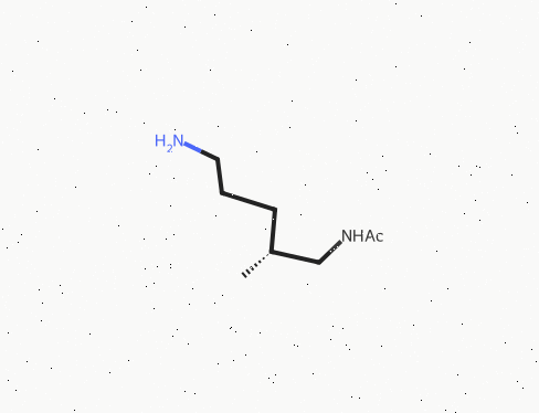 CC(=O)NC[C@H](C)CCCN